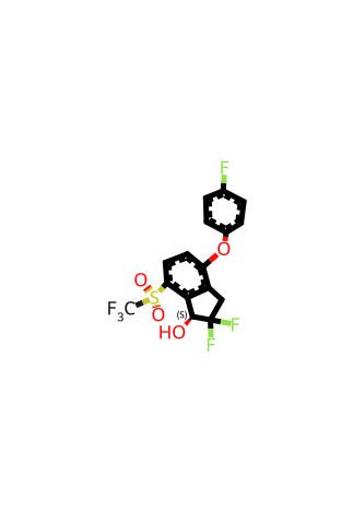 O=S(=O)(c1ccc(Oc2ccc(F)cc2)c2c1[C@H](O)C(F)(F)C2)C(F)(F)F